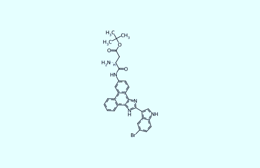 CC(C)(C)OC(=O)C[C@@H](N)C(=O)Nc1ccc2c(c1)c1ccccc1c1[nH]c(-c3c[nH]c4ccc(Br)cc34)nc21